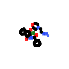 NCCN1CCOCC1.O=C(NC1(Cl)C(=O)c2ccccc2C1=O)c1ccccc1